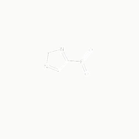 O=P(=O)C1=NCN=C1